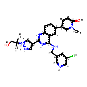 Cn1cc(-c2ccc3nc(-c4cnn(C(C)(C)CO)c4)nc(NCc4cncc(Cl)c4)c3c2)ccc1=O